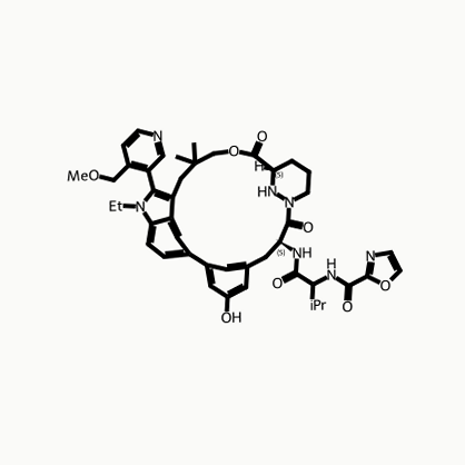 CCn1c(-c2cnccc2COC)c2c3cc(ccc31)-c1cc(O)cc(c1)C[C@H](NC(=O)C(NC(=O)c1ncco1)C(C)C)C(=O)N1CCC[C@H](N1)C(=O)OCC(C)(C)C2